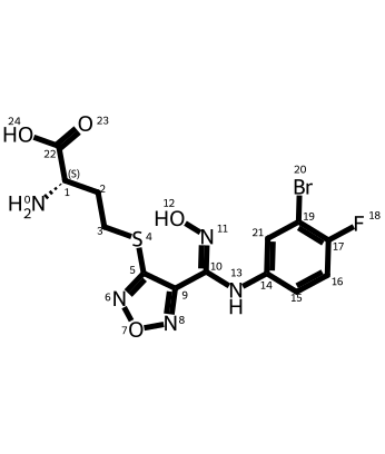 N[C@@H](CCSc1nonc1C(=NO)Nc1ccc(F)c(Br)c1)C(=O)O